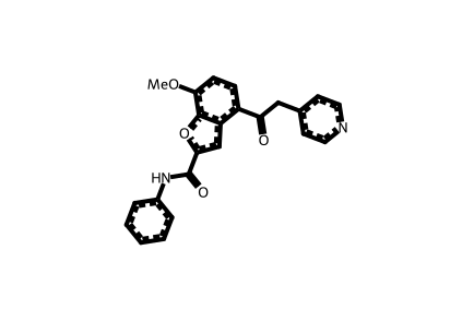 COc1ccc(C(=O)Cc2ccncc2)c2cc(C(=O)Nc3ccccc3)oc12